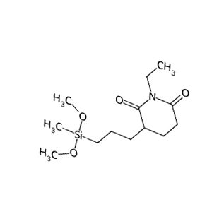 CCN1C(=O)CCC(CCC[Si](C)(OC)OC)C1=O